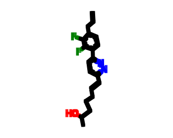 C=CCc1ccc(-c2ccc(C=CCCCC(C)O)nn2)c(F)c1F